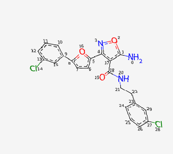 Nc1onc(-c2ccc(-c3cccc(Cl)c3)o2)c1C(=O)NCCc1cccc(Cl)c1